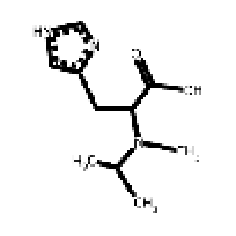 CC(C)N(C)C(Cc1c[nH]cn1)C(=O)O